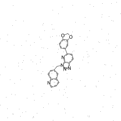 c1cnc2ccc(Cn3nnc4ccc(-c5ccc6c(c5)OCO6)nc43)cc2c1